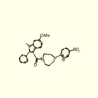 COc1ccc2c(C(=O)N3CCCN(c4ccc([N+](=O)[O-])cn4)CC3)c(-c3ccccc3)n(C)c2c1